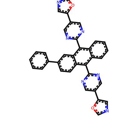 c1ccc(-c2ccc3c(-c4ncc(-c5cnco5)cn4)c4ccccc4c(-c4ncc(-c5cnco5)cn4)c3c2)cc1